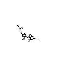 CCOC(=O)COCc1ccc(Cn2ccc3nc(N)nc(Cl)c32)c(OC)c1